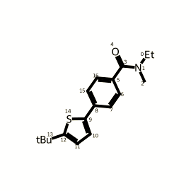 CCN(C)C(=O)c1ccc(-c2ccc(C(C)(C)C)s2)cc1